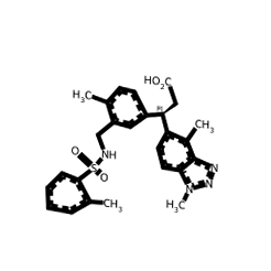 Cc1ccc([C@@H](CC(=O)O)c2ccc3c(nnn3C)c2C)cc1CNS(=O)(=O)c1ccccc1C